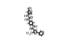 Cc1nc(-c2cccnc2)sc1C(=O)Nc1ccc(NC(=O)Nc2cc(C(C)C)on2)cc1